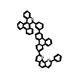 C1=CC2c3ccc(-c4cccc(-c5nc6ccccc6c6c7ccccc7c7ccccc7c56)c4)cc3-c3ccccc3C2C=C1c1ccc2ccc3ccc(-c4ccccc4)nc3c2n1